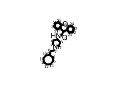 O=C(NC1CCN(CCC2CCCCCCC2)CC1)C1c2ccccc2Oc2ccccc21